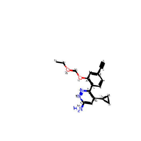 C#Cc1ccc(-c2nnc(N)cc2C2CC2)c(OCOCC)c1